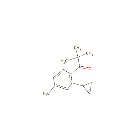 Cc1ccc(C(=O)C(C)(C)C)c(C2CC2)c1